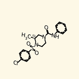 C[C@H]1CN(C(=O)Nc2ccccc2)CCN1S(=O)(=O)c1ccc(Cl)cc1